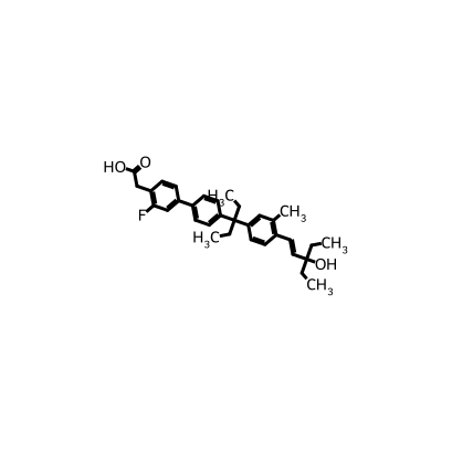 CCC(O)(C=Cc1ccc(C(CC)(CC)c2ccc(-c3ccc(CC(=O)O)c(F)c3)cc2)cc1C)CC